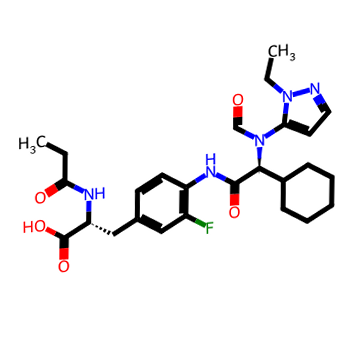 CCC(=O)N[C@H](Cc1ccc(NC(=O)[C@H](C2CCCCC2)N(C=O)c2ccnn2CC)c(F)c1)C(=O)O